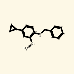 COc1cc(C2CC2)ccc1SCc1ccccc1